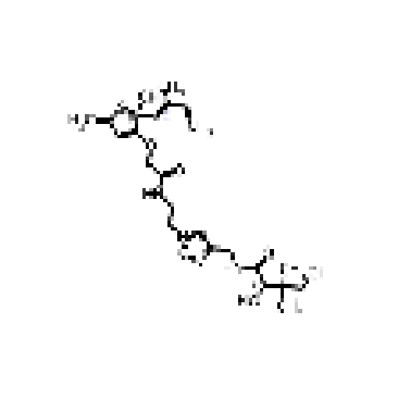 C=C/C(C)=C/[C@@]1(C)SC(=C)C=C1OCC(=O)NCCn1cc(CNC(=O)[C@H](O)C(C)(C)CO)nn1